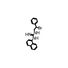 N=C(NCC(Br)c1ccccc1)Nc1cccc2ccccc12